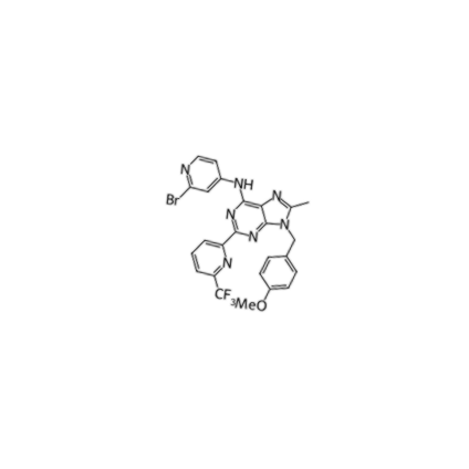 COc1ccc(Cn2c(C)nc3c(Nc4ccnc(Br)c4)nc(-c4cccc(C(F)(F)F)n4)nc32)cc1